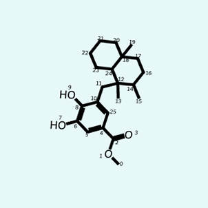 COC(=O)c1cc(O)c(O)c(CC2(C)C(C)CCC3(C)CCCCC32)c1